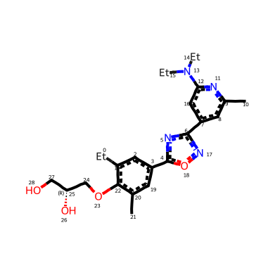 CCc1cc(-c2nc(-c3cc(C)nc(N(CC)CC)c3)no2)cc(C)c1OC[C@H](O)CO